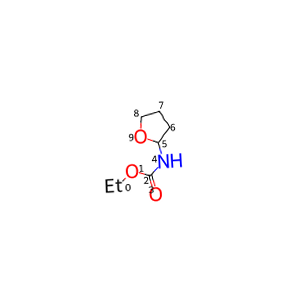 CCOC(=O)NC1CCCO1